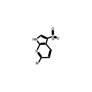 O=[SH](=O)c1c[nH]c2nc(Br)ccc12